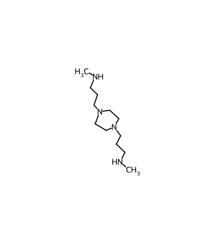 CNCCCN1CCN(CCCNC)CC1